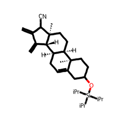 C=C1C(=C)[C@H]2[C@@H]3CC=C4CC(O[Si](C(C)C)(C(C)C)C(C)C)CC[C@]4(C)[C@@H]3CC[C@]2(C)C1C#N